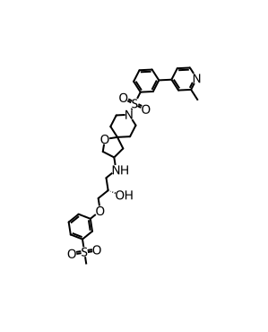 Cc1cc(-c2cccc(S(=O)(=O)N3CCC4(CC3)CC(NC[C@H](O)COc3cccc(S(C)(=O)=O)c3)CO4)c2)ccn1